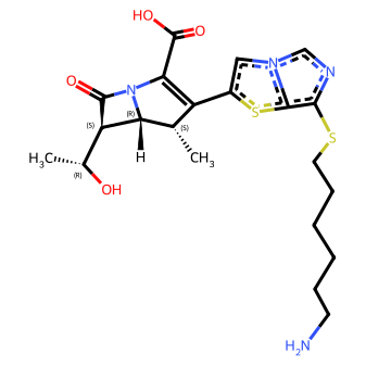 C[C@@H](O)[C@H]1C(=O)N2C(C(=O)O)=C(c3cn4cnc(SCCCCCCN)c4s3)[C@H](C)[C@H]12